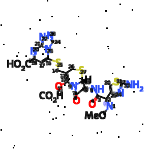 CO/N=C(\C(=O)N[C@@H]1C(=O)N2C(OC(=O)O)=C(CSc3cc(C(=O)O)nc4nncn34)CS[C@H]12)c1csc(N)n1